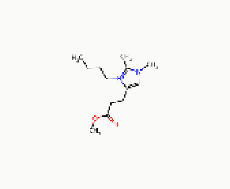 CCCC[n+]1c(CCC(=O)OC)cn(C)c1C